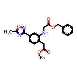 Cc1nc(-c2ccc(CC(=O)OC(C)(C)C)c(NCC(=O)OCc3ccccc3)c2)no1